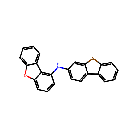 c1ccc2c(c1)oc1cccc(Nc3ccc4c(c3)sc3ccccc34)c12